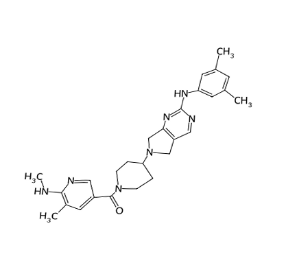 CNc1ncc(C(=O)N2CCC(N3Cc4cnc(Nc5cc(C)cc(C)c5)nc4C3)CC2)cc1C